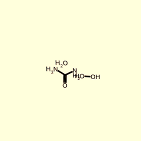 NC(N)=O.O.OO